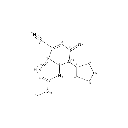 C=C(/N=C1\C(=C/N)C(C#N)=CC(=O)N1C1CCCC1)SC